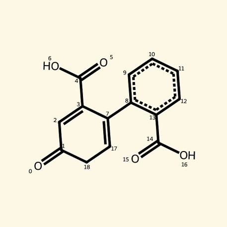 O=C1C=C(C(=O)O)C(c2ccccc2C(=O)O)=CC1